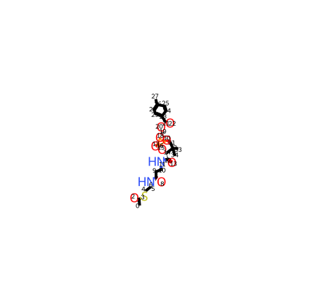 CC(=O)SCCNC(=O)CCNC(=O)[C@@H]1OP(=O)(OCOC(=O)c2ccc(C)cc2)OCC1(C)C